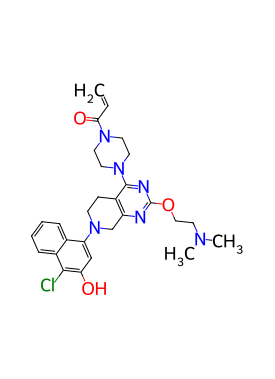 C=CC(=O)N1CCN(c2nc(OCCN(C)C)nc3c2CCN(c2cc(O)c(Cl)c4ccccc24)C3)CC1